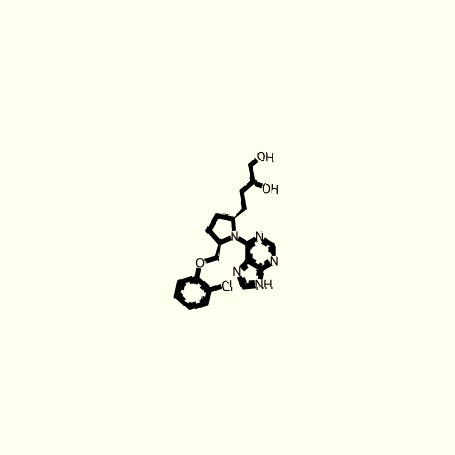 OCC(O)CC[C@@H]1CC[C@H](COc2ccccc2Cl)N1c1ncnc2[nH]cnc12